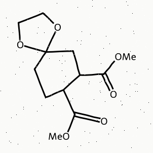 COC(=O)C1CCC2(CC1C(=O)OC)OCCO2